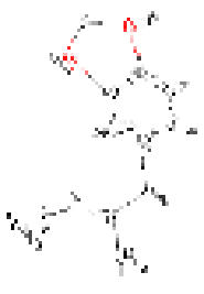 CCC(C)Cc1ccc2c(c1)OCO2